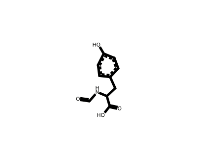 O=CNC(Cc1ccc(O)cc1)C(=O)O